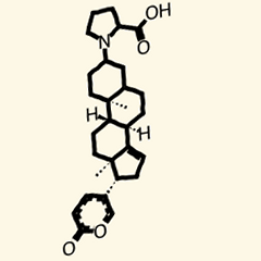 C[C@]12CC[C@H]3[C@@H](CCC4CC(N5CCCC5C(=O)O)CC[C@@]43C)C1=CC[C@@H]2c1ccc(=O)oc1